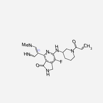 C=CC(=O)N1CCCC(Nc2nc(/C(C=N)=C/NC)c3c(c2F)CNC3=O)C1